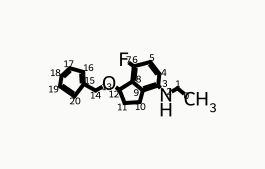 CCNc1ccc(F)c2c1CCC2OCc1ccccc1